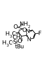 C[C@H](C(O[Si](C)(C)C(C)(C)C)c1ncc(F)cn1)S(N)(=O)=O